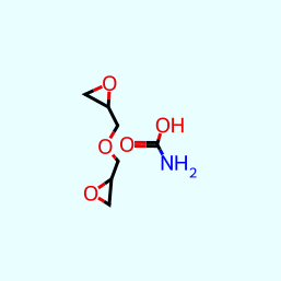 C(OCC1CO1)C1CO1.NC(=O)O